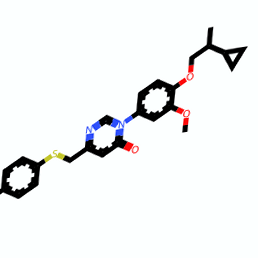 COc1cc(-n2cnc(CSc3ccc(Cl)cc3)cc2=O)ccc1OCC(C)C1CC1